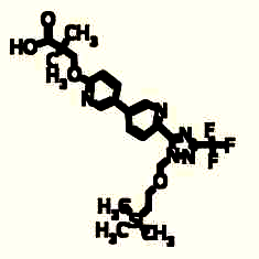 CC(C)(COc1ccc(-c2ccc(-c3nc(C(F)(F)F)nn3COCC[Si](C)(C)C)nc2)cn1)C(=O)O